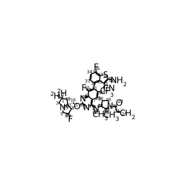 [2H]C1([2H])CN2C[C@H](F)C[C@]2(COc2nc(N(C)[C@@H]3CCN(C(=O)C=C)[C@@H]3C)c3cc(C(F)(F)F)c(-c4ccc(F)c5sc(N)c(C#N)c45)c(F)c3n2)C1